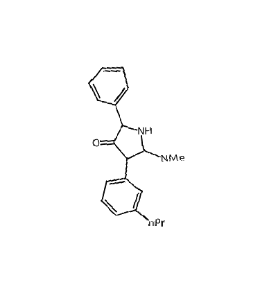 CCCc1cccc(C2C(=O)C(c3ccccc3)NC2NC)c1